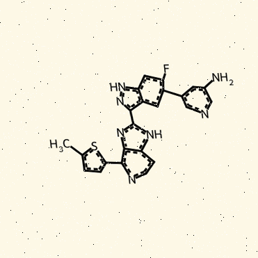 Cc1ccc(-c2nccc3[nH]c(-c4n[nH]c5cc(F)c(-c6cncc(N)c6)cc45)nc23)s1